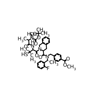 COC(=O)c1ccc(CN(C(=O)C2Cc3ccccc3CN2C(=O)C(NC(=O)C(C)N(C)C(=O)OC(C)(C)C)C(C)(C)S)[C@H](C)c2ccccc2F)cc1